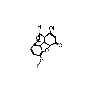 O=C1C=C(O)C2[C@@H]3CCC[C@@]24c2c(ccc(OI)c2OC14)C3